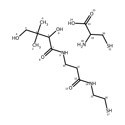 CC(C)(CO)C(O)C(=O)NCCC(=O)NCCS.NC(CS)C(=O)O